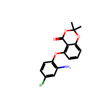 CC1(C)OC(=O)c2c(Oc3ccc(Br)cc3N)cccc2O1